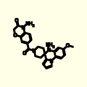 COc1ccc2c(c1)N(N)C1(CCN(C(=O)c3ccc4c(c3)OCC(=O)N4N)CC1)c1cccn1-2